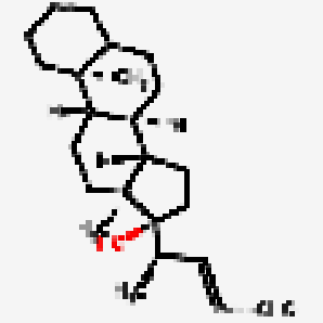 C[C@H](C=CC=O)[C@@]1(O)CC[C@H]2[C@@H]3CCC4CCCC[C@]4(C)[C@H]3CC[C@@]21C